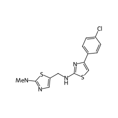 CNc1ncc(CNc2nc(-c3ccc(Cl)cc3)cs2)s1